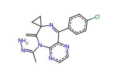 C=C1N(/C(C)=N\N)c2nccnc2C(c2ccc(Cl)cc2)=NC12CC2